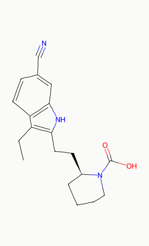 CCc1c(CC[C@@H]2CCCCN2C(=O)O)[nH]c2cc(C#N)ccc12